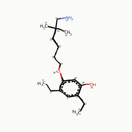 CCc1cc(CC)c(OCCCCC(C)(C)CN)cc1O